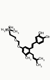 CC(C)=CCc1c(C)cc(OCOCC[Si](C)(C)C)cc1/C=C/c1ccc(O)c(O)c1